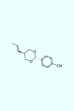 C/C=C/[C@H]1CO[C@H](c2ccc(C#N)cc2)OC1